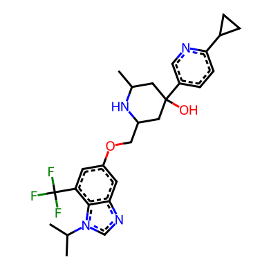 CC1CC(O)(c2ccc(C3CC3)nc2)CC(COc2cc(C(F)(F)F)c3c(c2)ncn3C(C)C)N1